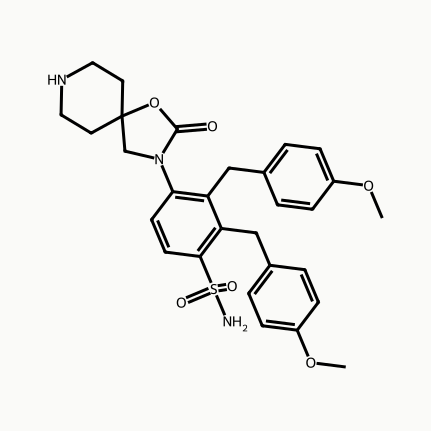 COc1ccc(Cc2c(N3CC4(CCNCC4)OC3=O)ccc(S(N)(=O)=O)c2Cc2ccc(OC)cc2)cc1